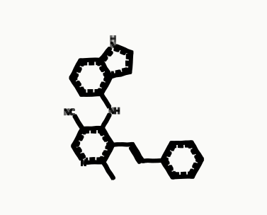 Cc1ncc(C#N)c(Nc2cccc3[nH]ccc23)c1C=Cc1ccccc1